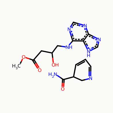 COC(=O)CC(O)CNc1ncnc2nc[nH]c12.NC(=O)C1C=CC=NC1